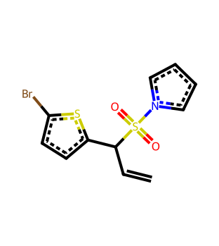 C=CC(c1ccc(Br)s1)S(=O)(=O)n1cccc1